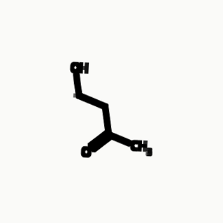 CC(=O)C[CH]O